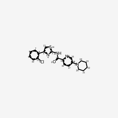 O=C(Nc1nc(-c2ccccc2Cl)cs1)c1ccc(N2CCCCC2)cn1